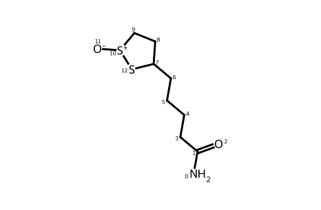 NC(=O)CCCCC1CC[S+]([O-])S1